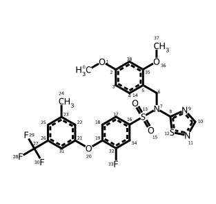 COc1ccc(CN(c2ncns2)S(=O)(=O)c2ccc(Oc3cc(C)cc(C(F)(F)F)c3)c(F)c2)c(OC)c1